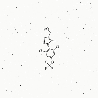 Cc1c(CO)cnn1-c1c(Cl)cc(OC(F)(F)F)cc1Cl